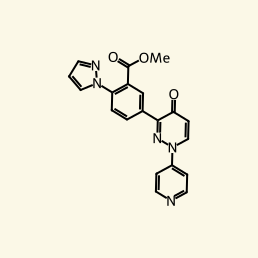 COC(=O)c1cc(-c2nn(-c3ccncc3)ccc2=O)ccc1-n1cccn1